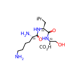 CC(C)C[C@H](NC(=O)[C@@H](N)CCCCN)C(=O)N[C@@H](CO)C(=O)O